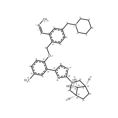 C/N=C\c1cc(CN2CCCCC2)ccc1COc1ccc(C)cc1-c1csc(N2C[C@H]3CC[C@@H](C2)[C@H]3C(=O)O)n1